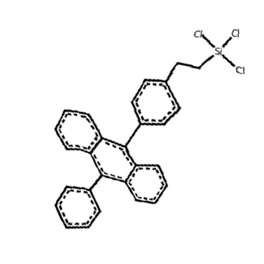 Cl[Si](Cl)(Cl)CCc1ccc(-c2c3ccccc3c(-c3ccccc3)c3ccccc23)cc1